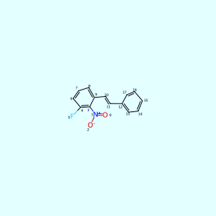 O=[N+]([O-])c1c(F)cccc1C=Cc1ccccc1